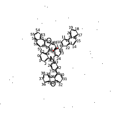 c1ccc(N(c2ccc(-c3ccc4c(ccc5ccccc54)c3)cc2)c2ccc(-c3cccc4oc5ccccc5c34)cc2)c(-c2cccc3oc4c5ccccc5ccc4c23)c1